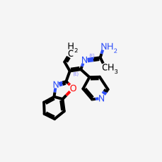 C=C/C(=C(\N=C(/C)N)c1ccncc1)c1nc2ccccc2o1